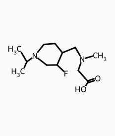 CC(C)N1CCC(CN(C)CC(=O)O)C(F)C1